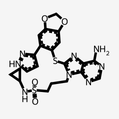 Nc1ncnc2c1nc(Sc1cc3c(cc1-c1cc[nH]n1)OCO3)n2CCCS(=O)(=O)NC1CC1